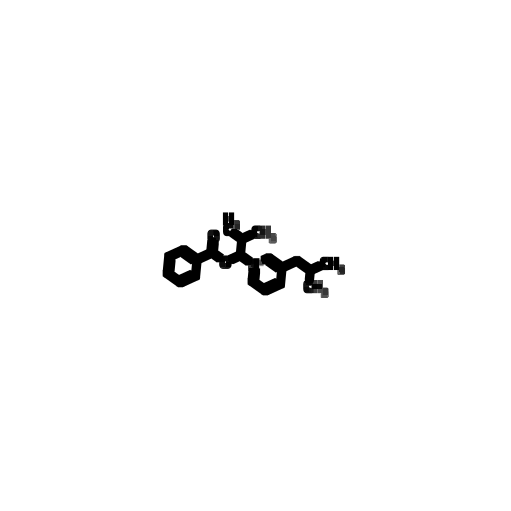 CC(C)Cc1ccc[n+](C(OC(=O)c2ccccc2)C(C)C)c1